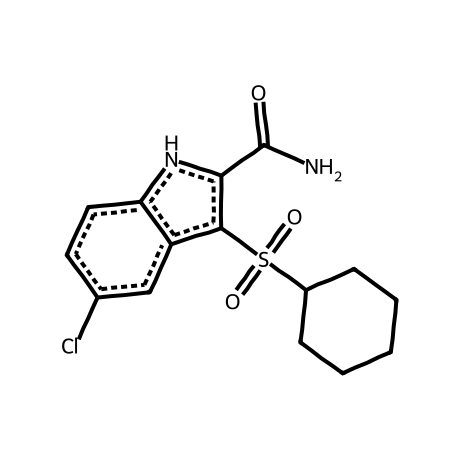 NC(=O)c1[nH]c2ccc(Cl)cc2c1S(=O)(=O)C1CCCCC1